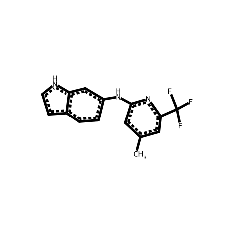 Cc1cc(Nc2ccc3cc[nH]c3c2)nc(C(F)(F)F)c1